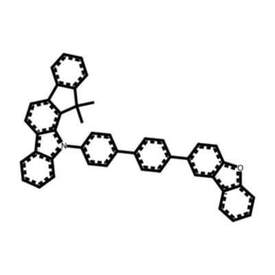 CC1(C)c2ccccc2-c2ccc3c4ccccc4n(-c4ccc(-c5ccc(-c6ccc7oc8ccccc8c7c6)cc5)cc4)c3c21